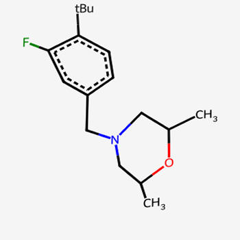 CC1CN(Cc2ccc(C(C)(C)C)c(F)c2)CC(C)O1